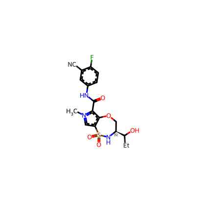 CCC(O)[C@@H]1COc2c(cn(C)c2C(=O)Nc2ccc(F)c(C#N)c2)S(=O)(=O)N1